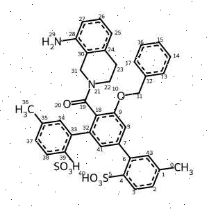 Cc1ccc(S(=O)(=O)O)c(-c2cc(OCc3ccccc3)c(C(=O)N3CCc4cccc(N)c4C3)c(-c3cc(C)ccc3S(=O)(=O)O)c2)c1